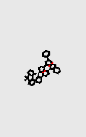 CC1(C)c2ccccc2-c2c(N(c3ccc(-c4cccc(-c5ccccc5)c4)cc3)c3ccccc3-c3ccc(-c4cccc5ccccc45)cc3)cccc21